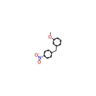 COc1cccc(Cc2ccc([N+](=O)[O-])cc2)c1